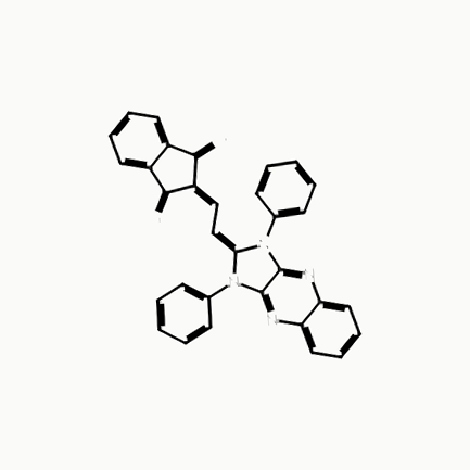 O=C1C(=CC=C2N(c3ccccc3)c3nc4ccccc4nc3N2c2ccccc2)C(=O)c2ccccc21